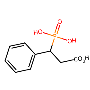 O=C(O)CC(c1ccccc1)P(=O)(O)O